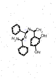 C=C(/N=C(\N=C(/N)c1ccccc1)c1ccccc1)c1ccc(O)cc1O